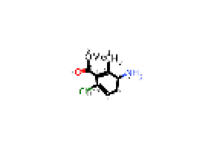 COC(=O)C1=C(C)C(N)CC=C1Cl